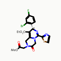 CCOC(=O)C1=C2CN(CC(=O)OC)C(=O)CN2C(c2nccs2)=N[C@H]1c1ccc(F)cc1Br